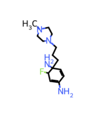 CN1CCN(CCCC2(N)C=CC(N)=CC2F)CC1